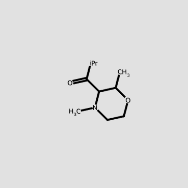 CC(C)C(=O)C1C(C)OCCN1C